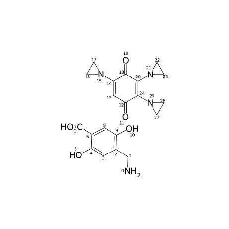 NCc1cc(O)c(C(=O)O)cc1O.O=C1C=C(N2CC2)C(=O)C(N2CC2)=C1N1CC1